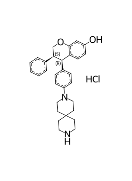 Cl.Oc1ccc2c(c1)OC[C@H](c1ccccc1)[C@@H]2c1ccc(N2CCC3(CCNCC3)CC2)cc1